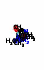 COCOc1cc(-c2c(/C=C/C#N)cc3c(NC4C5CC4N(C(=O)OC(C)(C)C)C5)c(N)c(N4CC(N(C)C)C4)nc3c2F)c2ccccc2c1